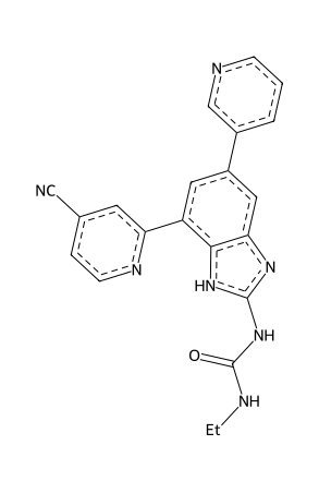 CCNC(=O)Nc1nc2cc(-c3cccnc3)cc(-c3cc(C#N)ccn3)c2[nH]1